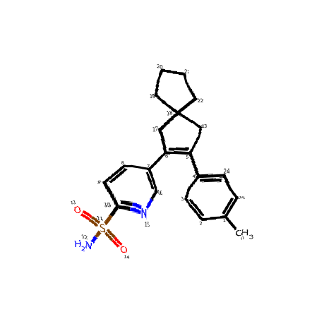 Cc1ccc(C2=C(c3ccc(S(N)(=O)=O)nc3)CC3(CCCC3)C2)cc1